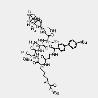 CCCCc1ccc(-c2ccc(C(=O)NCCC(=O)N[C@@H](CCCCNC(=O)OC(C)(C)C)C(=O)N[C@H](C(=O)N[C@@H](N)C(=O)N[C@@H](CC(C)C)C(=O)N[C@@H](CO)B3OC4C[C@@H]5C[C@@H](C5(C)C)[C@]4(C)O3)C(C)OCC(C)C)cc2)cc1